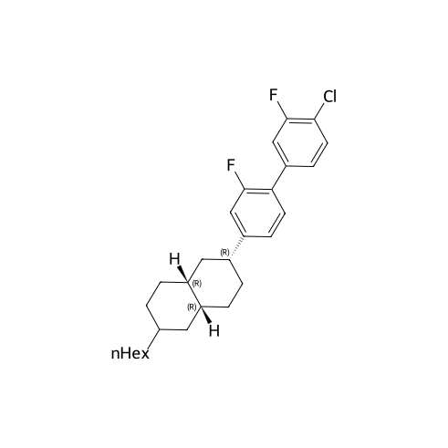 CCCCCCC1CC[C@@H]2C[C@H](c3ccc(-c4ccc(Cl)c(F)c4)c(F)c3)CC[C@@H]2C1